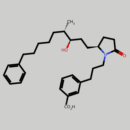 C[C@@H](CCCCCc1ccccc1)[C@H](O)CC[C@H]1CCC(=O)N1CCCc1cccc(C(=O)O)c1